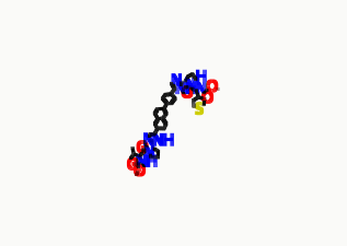 COC(=O)NC(C(=O)N1CCC[C@H]1c1ncc(-c2ccc3cc(-c4ccc(-c5cnc([C@@H]6CCCN6C(=O)[C@@H](NC(=O)OC)C6CCSCC6)[nH]5)cc4)ccc3c2)[nH]1)C(C)C